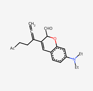 C=C=C(CCC(C)=O)C1=Cc2ccc(N(CC)CC)cc2OC1C=O